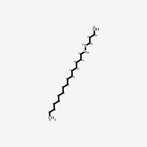 CCCCCCCCCCCCCCCCSSCCCO